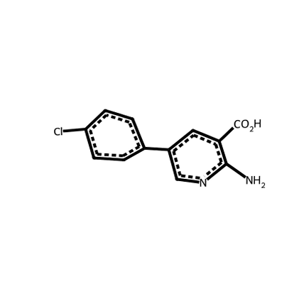 Nc1ncc(-c2ccc(Cl)cc2)cc1C(=O)O